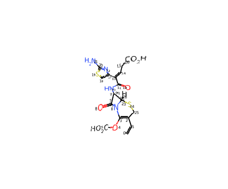 C=CC1=C(OC(=O)O)N2C(=O)[C@@H](NC(=O)C(=CCC(=O)O)c3csc(N)n3)[C@@H]2SC1